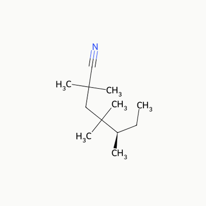 CC[C@@H](C)C(C)(C)CC(C)(C)C#N